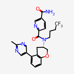 Cc1ncc(-c2cccc3c2C[C@H](N(CCCC(F)(F)F)C(=O)c2ccc(C(N)=O)cn2)CO3)cn1